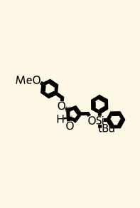 COc1ccc(CO[C@H]2C=C(CO[Si](c3ccccc3)(c3ccccc3)C(C)(C)C)C3O[C@@H]32)cc1